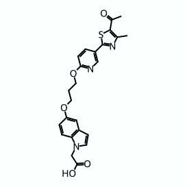 CC(=O)c1sc(-c2ccc(OCCCOc3ccc4c(ccn4CC(=O)O)c3)nc2)nc1C